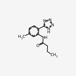 CCCC(=O)Nc1cc(C)ccc1-c1nnn[nH]1